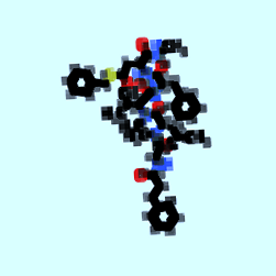 CNC(=O)[C@H](CC(=O)SCc1ccccc1)NC(=O)[C@H](Cc1ccccc1)NC(=O)[C@H](C(C)C)N(C)C(=O)[C@H](CC(C)C)N(C)C(=O)CNC(=O)CCc1ccccc1